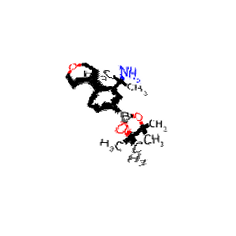 CC(C)(N)c1cc(B2OC(C)(C)C(C)(C)O2)ccc1C1CCOCC1